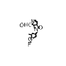 Cc1cc(CN2Cc3c(ccnc3C=O)C2=O)ccc1OCF